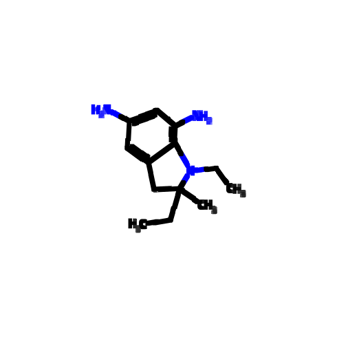 CCN1c2c(N)cc(N)cc2CC1(C)CC